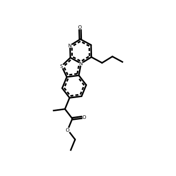 CCCc1cc(=O)nc2sc3cc(C(C)C(=O)OCC)ccc3n12